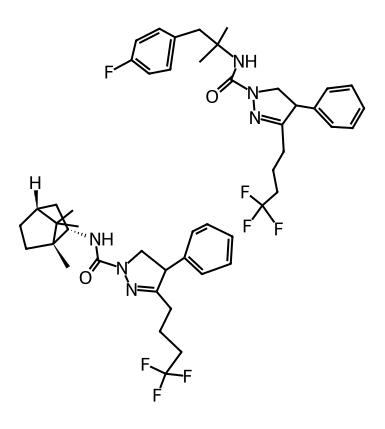 CC(C)(Cc1ccc(F)cc1)NC(=O)N1CC(c2ccccc2)C(CCCC(F)(F)F)=N1.CC1(C)[C@@H]2CC[C@@]1(C)[C@@H](NC(=O)N1CC(c3ccccc3)C(CCCC(F)(F)F)=N1)C2